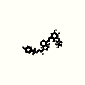 C=C1/C(=C\C=C2/CCC[C@]3(C)[C@@H]([C@H](C)COS(=O)(=O)c4ccc(C)cc4)CC[C@@H]23)C[C@@H](C)[C@H](C)[C@@H]1O[Si](C)(C)C(C)(C)C